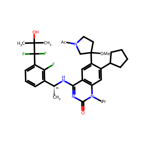 COC1(c2cc3c(N[C@H](C)c4cccc(C(F)(F)C(C)(C)O)c4F)nc(=O)n(C(C)C)c3cc2C2CCCC2)CCN(C(C)=O)C1